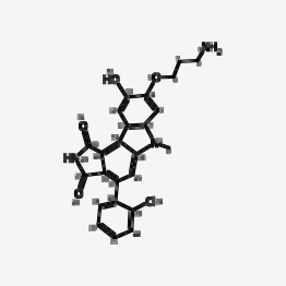 Cn1c2cc(OCCCN)c(O)cc2c2c3c(c(-c4ccccc4Cl)cc21)C(=O)NC3=O